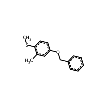 CSc1ccc(OCc2ccccc2)cc1C